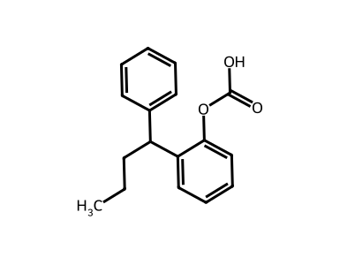 CCCC(c1ccccc1)c1ccccc1OC(=O)O